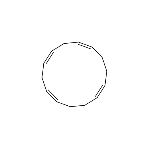 [C]1=CCC=CCC=CCCC=CCC1